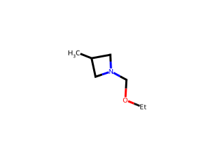 CCOCN1CC(C)C1